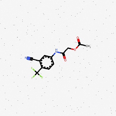 CC(=O)OCC(=O)Nc1ccc(C(F)(F)F)c(C#N)c1